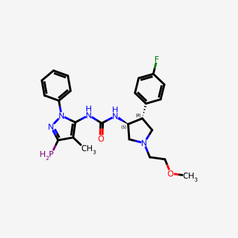 COCCN1C[C@@H](NC(=O)Nc2c(C)c(P)nn2-c2ccccc2)[C@H](c2ccc(F)cc2)C1